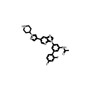 CC(=O)Nc1cc(-c2ccc(F)cc2F)cc(-n2cnc3cc(-c4cnn(C5CCNCC5)c4)cnc32)c1